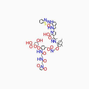 Cc1c(-c2ccc(-c3cc4cccc(C(=O)Nc5nc6ccccc6s5)c4[nH]3)nc2C(=O)O)cnn1CC12CC3(C)CC(C)(C1)CC(OCCN(C)C(=O)OCc1ccc(O[C@H]4C[C@@H](O)C[C@@H](C(=O)O)O4)c(NC(=O)CCNC(=O)CCN4C(=O)C=CC4=O)c1)(C3)C2